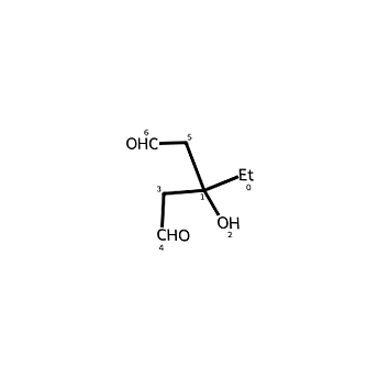 CCC(O)(CC=O)CC=O